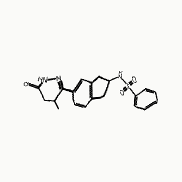 CC1CC(=O)NN=C1c1ccc2c(c1)CC(NS(=O)(=O)c1ccccc1)C2